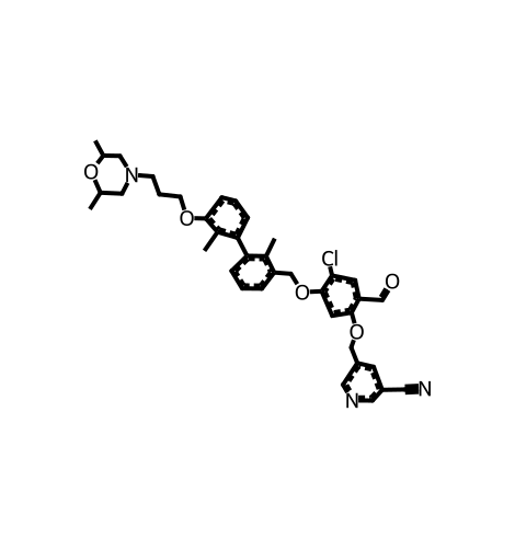 Cc1c(COc2cc(OCc3cncc(C#N)c3)c(C=O)cc2Cl)cccc1-c1cccc(OCCCN2CC(C)OC(C)C2)c1C